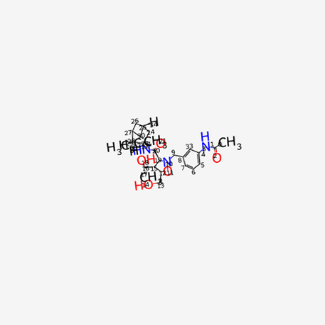 CC(=O)Nc1cccc(CN2O[C@@H](CO)[C@@H]([C@H](C)O)[C@H]2C(=O)NC2C[C@H]3CC([C@@H]2C)C3(C)C)c1